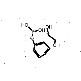 OCCO.OP(O)Oc1ccccc1